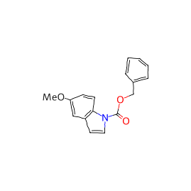 COc1ccc2c(ccn2C(=O)OCc2ccccc2)c1